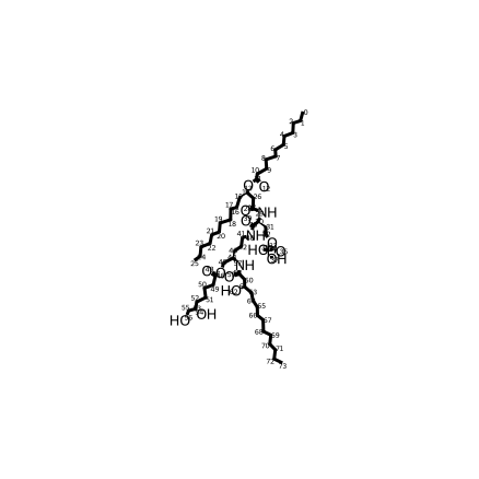 CCCCCCCCCCCC(=O)O[C@H](CCCCCCCCCCC)CC(=O)N[C@@H](CCOP(=O)(O)O)C(=O)NCCC[C@H](COC(=O)CCCCC(O)CO)NC(=O)C[C@H](O)CCCCCCCCCCC